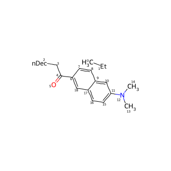 CCC.CCCCCCCCCCCC(=O)c1ccc2cc(N(C)C)ccc2c1